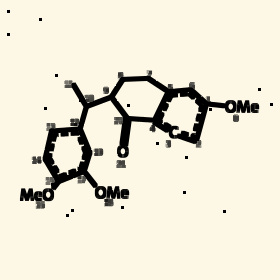 COc1ccc2c(c1)CCC(C(C)c1ccc(OC)c(OC)c1)C2=O